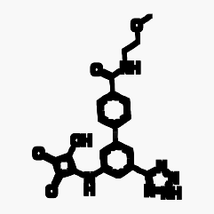 COCCNC(=O)c1ccc(-c2cc(Nc3c(O)c(=O)c3=O)cc(-c3nn[nH]n3)c2)cc1